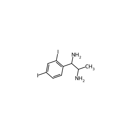 CC(N)C(N)c1ccc(I)cc1I